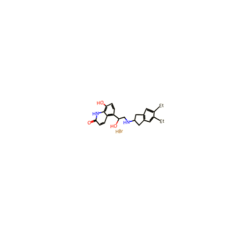 Br.CCc1cc2c(cc1CC)CC(NCC(O)c1ccc(O)c3[nH]c(=O)ccc13)C2